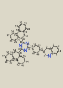 C1=c2ccccc2=NCC1c1ccc(-c2nc(-c3cc4ccccc4c4ccccc34)nc(-c3cc4ccccc4c4ccccc34)n2)cc1